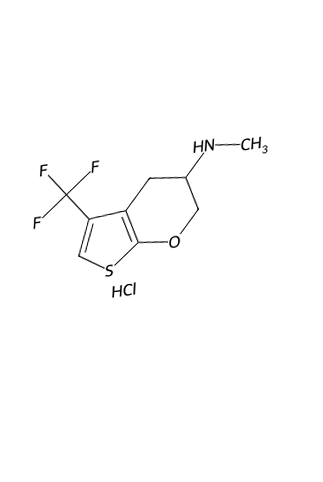 CNC1COc2scc(C(F)(F)F)c2C1.Cl